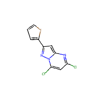 Clc1cc(Cl)n2nc(-c3cccs3)cc2n1